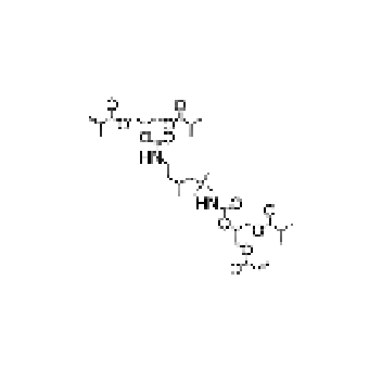 C=C(C)C(=O)OCC(COC(=O)C(=C)C)OC(=O)NCCC(C)CC(C)(C)CNC(=O)OC(COC(=O)C(=C)C)COC(=O)C(=C)C